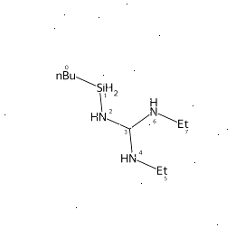 CCCC[SiH2]NC(NCC)NCC